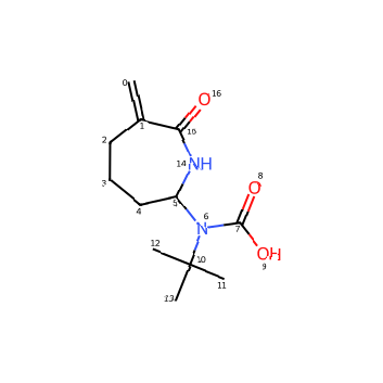 C=C1CCCC(N(C(=O)O)C(C)(C)C)NC1=O